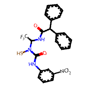 O=C(NC(N(S)C(=O)Nc1cccc([N+](=O)[O-])c1)C(F)(F)F)C(c1ccccc1)c1ccccc1